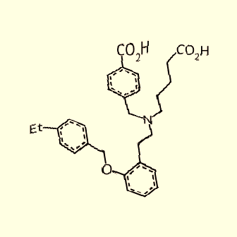 CCc1ccc(COc2ccccc2CCN(CCCCC(=O)O)Cc2ccc(C(=O)O)cc2)cc1